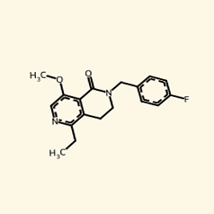 CCc1ncc(OC)c2c1CCN(Cc1ccc(F)cc1)C2=O